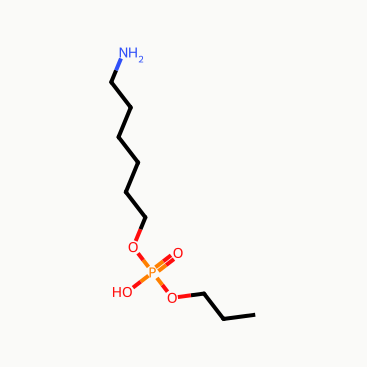 CCCOP(=O)(O)OCCCCCCN